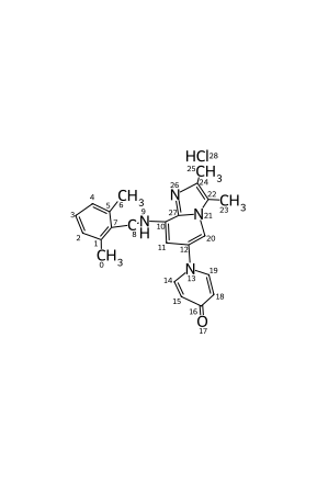 Cc1cccc(C)c1CNc1cc(-n2ccc(=O)cc2)cn2c(C)c(C)nc12.Cl